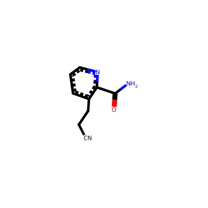 N#CCCc1cccnc1C(N)=O